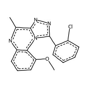 COc1cccc2nc(C)c3nnc(-c4ccccc4Cl)n3c12